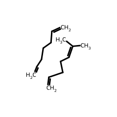 C=CCCC=C(C)C.C=CCCCC=C